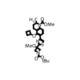 COC(=O)N1c2ccc(-c3csc(C4(OC)CN(C(=O)OC(C)(C)C)C4)n3)c(OC3CCC3)c2CCC1C